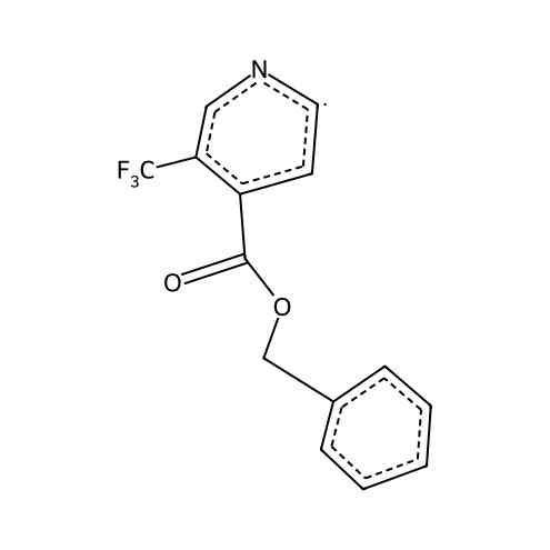 O=C(OCc1ccccc1)c1c[c]ncc1C(F)(F)F